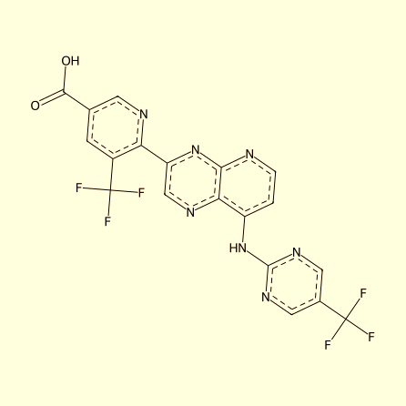 O=C(O)c1cnc(-c2cnc3c(Nc4ncc(C(F)(F)F)cn4)ccnc3n2)c(C(F)(F)F)c1